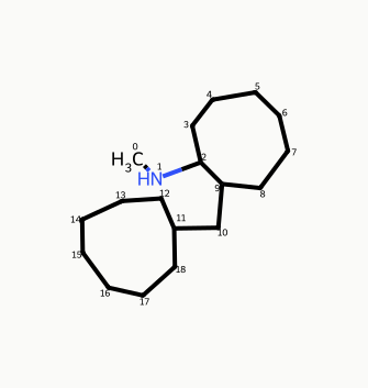 CNC1CCCCCCC1CC1CCCCCCC1